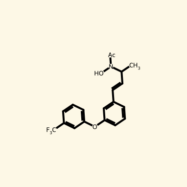 CC(=O)N(O)C(C)C=Cc1cccc(Oc2cccc(C(F)(F)F)c2)c1